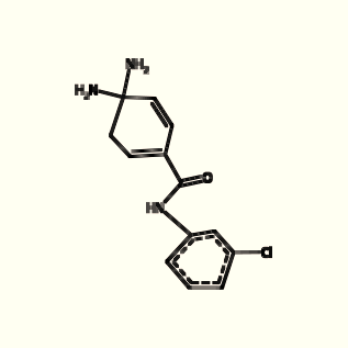 NC1(N)C=CC(C(=O)Nc2cccc(Cl)c2)=CC1